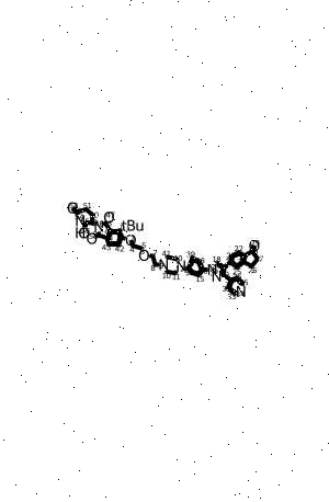 CC(C)(C)c1c(OCCOCCN2CCN(c3ccc(-n4cc(-c5ccc6c(c5)CCC6=O)c(-c5ccncc5)n4)cc3)CC2)ccc2c1C(=O)N(C1CCC(=O)NC1=O)C2=O